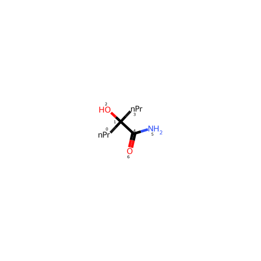 CCCC(O)(CCC)C(N)=O